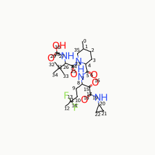 CC1CCC(C(=O)NC(CCC(C)(F)F)C(=O)C(=O)NC2CC2)N(C(=O)C(NC(=O)O)C(C)(C)C)C1